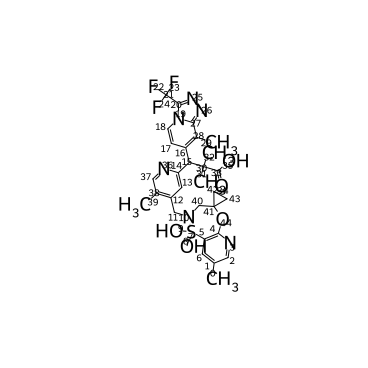 Cc1cnc2c(c1)S(O)(O)N(Cc1cc(C(c3ccn4c(C(F)(F)F)nnc4c3C)C(C)(C)C(=O)O)ncc1C)CC1(CC1)O2